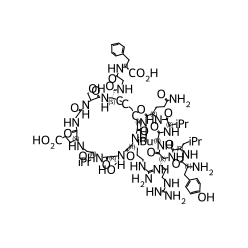 CCC(C)[C@@H](NC(=O)[C@@H](CCCNC(=N)N)NC(=O)[C@@H](CC(C)C)NC(=O)[C@@H](N)Cc1ccc(O)cc1)C(=O)N[C@@H](C(=O)N[C@H](CCC(N)=O)C(=O)N[C@@H]1CCCC[C@@H](C(=O)NCC(=O)N[C@@H](Cc2ccccc2)C(=O)O)NC(=O)C(CO)NC(=O)CNC(=O)[C@H](CCC(=O)O)NC(=O)[C@@H](C(C)C)NC(=O)[C@@H](CO)NC(=O)[C@@H](CCCNC(=N)N)NC1=O)C(C)C